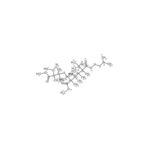 COC(=O)C(C)(C(C)C)C(C)(C)CC(C)(C)C(C)(C(=O)OC)C(C)(C)C(C)(C)C(C)(C(=O)OCCN(C)C)C(C)(C)C